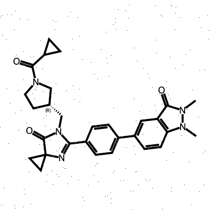 Cn1c(=O)c2cc(-c3ccc(C4=NC5(CC5)C(=O)N4C[C@@H]4CCN(C(=O)C5CC5)C4)cc3)ccc2n1C